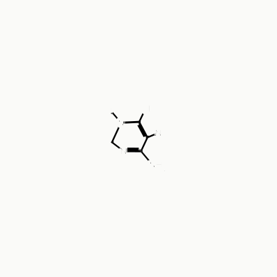 NC1=NCN(Cl)C(Cl)=C1N